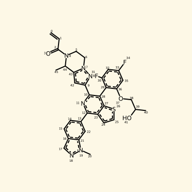 C=CC(=O)N1CCn2nc(-c3nc(-c4ccc5cnn(C)c5c4)c4ccsc4c3-c3c(F)cc(F)cc3OCC(C)O)cc2C1C